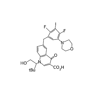 CC(C)(C)C(CO)n1cc(C(=O)O)c(=O)c2cc(Cc3cc(N4CCOCC4)c(F)c(I)c3F)ccc21